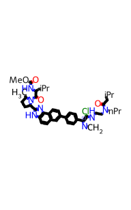 C=N/C(=C(/Cl)NCCN(CCC)C(=O)CC(C)C)c1ccc(-c2ccc3c(ccc4[nH]c(C5CCC(C)N5C(=O)C(NC(=O)OC)C(C)C)nc43)c2)cc1